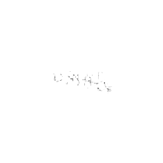 C/C(=N\C(C)=C(/C)c1ccccc1)c1ccc(-c2ccc(F)cc2F)o1